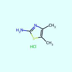 Cc1nc(N)sc1C.Cl